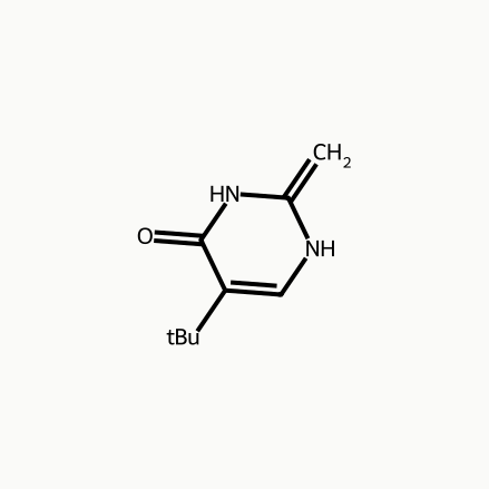 C=C1NC=C(C(C)(C)C)C(=O)N1